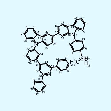 C[SiH](C)c1ccc(-n2c3ccccc3c3ccc(-c4ccc5c(c4)c4ccccc4n5-c4cccc(-c5cc(-c6ccccc6)nc(-c6ccccc6)c5)c4)cc32)cc1